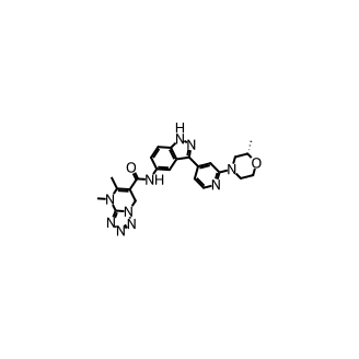 CC1=C(C(=O)Nc2ccc3[nH]nc(-c4ccnc(N5CCO[C@@H](C)C5)c4)c3c2)Cn2nnnc2N1C